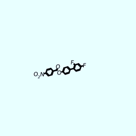 O=C(Oc1ccc(-c2ccc(F)cc2F)cc1)c1ccc([N+](=O)[O-])cc1